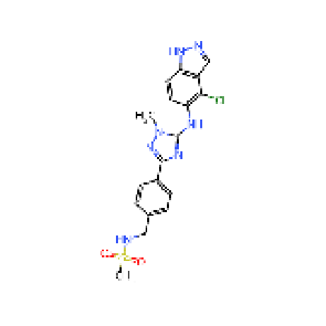 Cn1nc(-c2ccc(CNS(C)(=O)=O)cc2)nc1Nc1ccc2[nH]ncc2c1Cl